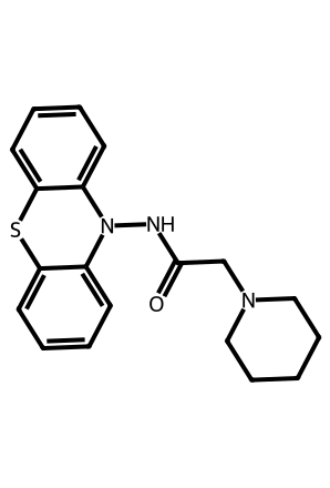 O=C(CN1CCCCC1)NN1c2ccccc2Sc2ccccc21